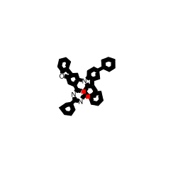 c1ccc(-c2ccc3c(c2)c2ccccc2n3-c2cc3c(cc2-c2nc(-c4ccccc4)nc(-c4ccccc4)n2)oc2ccccc23)cc1